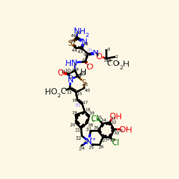 CC(C)(O/N=C(\C(=O)N[C@@H]1C(=O)N2C(C(=O)O)=C(/C=C/c3ccc(C[N+]4(C)CCc5c(Cl)c(O)c(O)c(Cl)c5C4)cc3)CS[C@H]12)c1csc(N)n1)C(=O)O